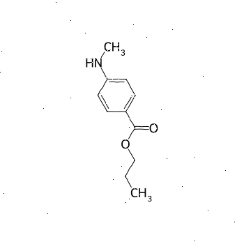 CCCOC(=O)c1ccc(NC)cc1